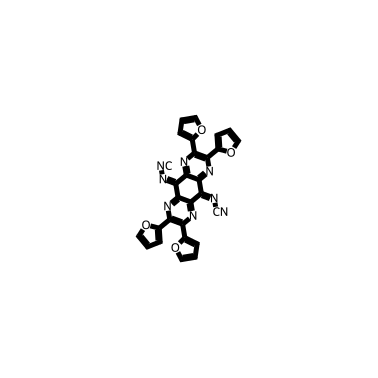 [C-]#[N+]N=C1c2nc(-c3ccco3)c(-c3ccco3)nc2C(=NC#N)c2nc(-c3ccco3)c(-c3ccco3)nc21